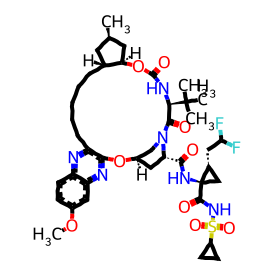 COc1ccc2nc3c(nc2c1)O[C@@H]1C[C@@H](C(=O)N[C@]2(C(=O)NS(=O)(=O)C4CC4)C[C@H]2CC(F)F)N(C1)C(=O)[C@H](C(C)(C)C)NC(=O)O[C@@H]1C[C@H](C)C[C@H]1CCCCC3